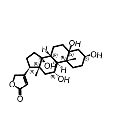 C[C@]12CC[C@H](O)C[C@@]1(O)CC[C@@H]1[C@@H]2[C@H](O)C[C@]2(C)[C@@H](C3=CC(=O)OC3)CC[C@]12O